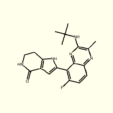 Cc1nc2ccc(F)c(-c3cc4c([nH]3)CCNC4=O)c2nc1NC(C)(C)C